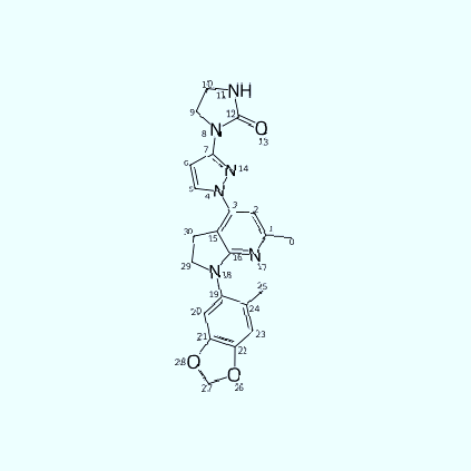 Cc1cc(-n2ccc(N3CCNC3=O)n2)c2c(n1)N(c1cc3c(cc1C)OCO3)CC2